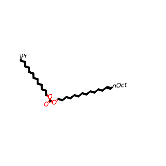 CCCCCCCCC=CCCCCCCCCCCCCOC(=O)OCCCCCCCCCCCCCC(C)C